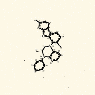 Cc1ccc2c(n1)oc1c(N3C[C@@H](C)N(c4ccccc4)c4ncccc43)c(C)ccc12